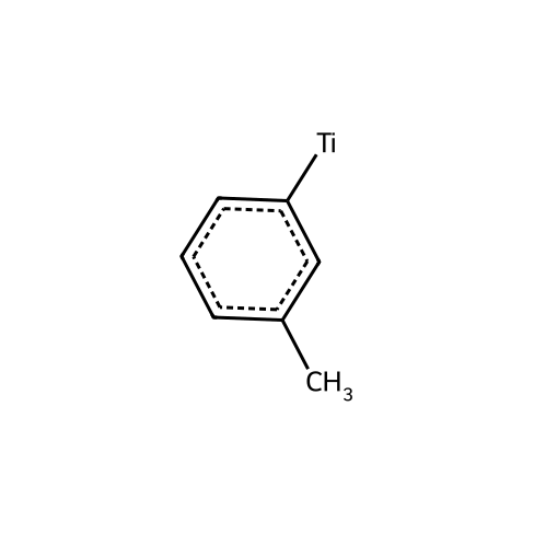 Cc1ccc[c]([Ti])c1